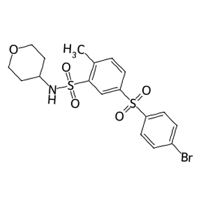 Cc1ccc(S(=O)(=O)c2ccc(Br)cc2)cc1S(=O)(=O)NC1CCOCC1